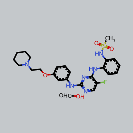 CS(=O)(=O)Nc1ccccc1Nc1nc(Nc2cccc(OCCN3CCCCC3)c2)ncc1F.O=CO